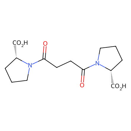 O=C(O)[C@H]1CCCN1C(=O)CCC(=O)N1CCC[C@@H]1C(=O)O